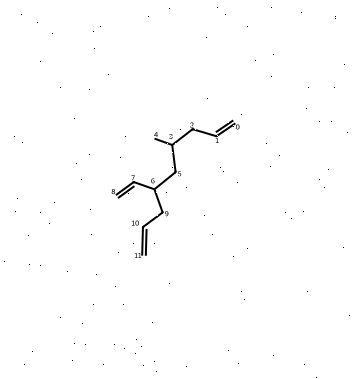 C=CCC(C)CC(C=C)CC=C